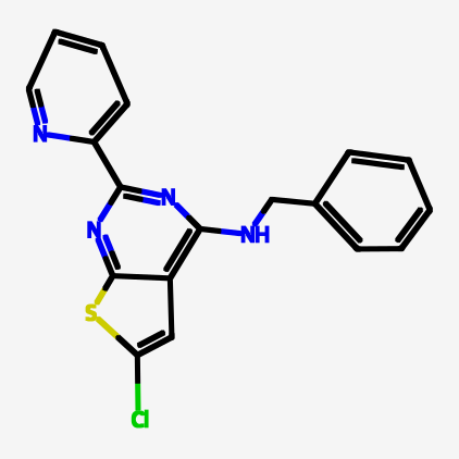 Clc1cc2c(NCc3ccccc3)nc(-c3ccccn3)nc2s1